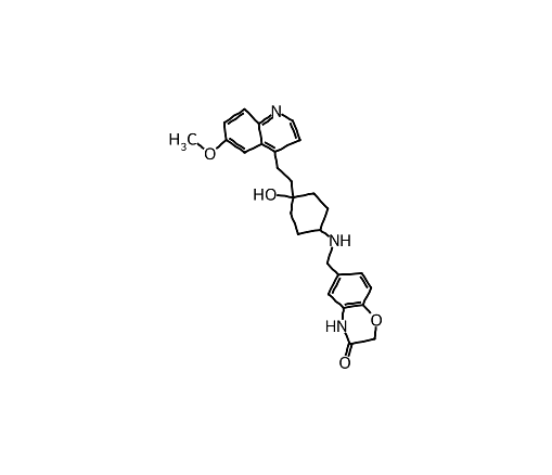 COc1ccc2nccc(CCC3(O)CCC(NCc4ccc5c(c4)NC(=O)CO5)CC3)c2c1